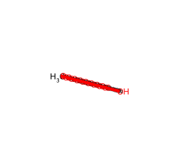 COCCOCCOCCOCCOCCOCCOCCOCCOCCOCCOCCOCCOCCOCCOCCOCCOCCCCCCCCCCCCO